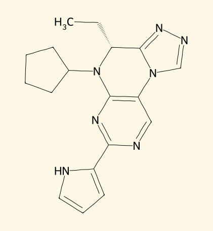 CC[C@@H]1c2nncn2-c2cnc(-c3ccc[nH]3)nc2N1C1CCCC1